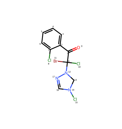 O=C(c1ccccc1Cl)C(Cl)(Br)N1CN(Cl)C=N1